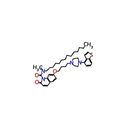 CCCCCCCCCCCCCCN(C)C(=O)n1c(=O)ccc2ccc(OCCCCN3CCN(c4cccc5sccc45)CC3)cc21